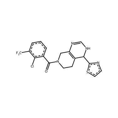 O=C(c1cccc(C(F)(F)F)c1Cl)N1CCC2=C(C1)N=CNC2c1nccs1